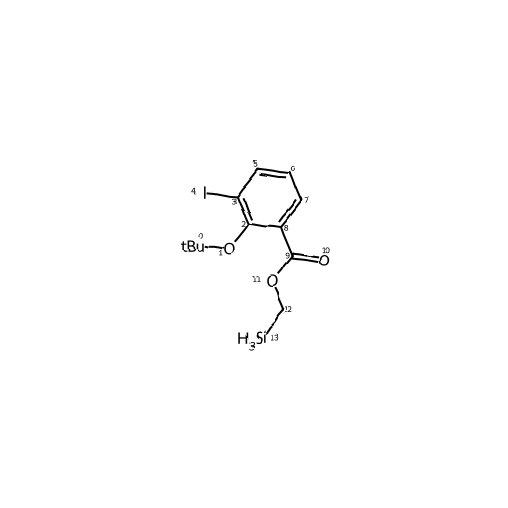 CC(C)(C)Oc1c(I)cccc1C(=O)OC[SiH3]